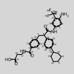 Nc1ccc(NC(=O)C(Cc2ccc(C(=O)NCCC(=O)O)cc2)c2ccc(C3CCCCC3)cc2)cc1C(F)(F)F